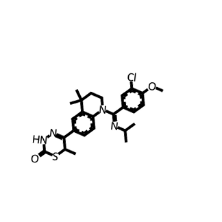 COc1ccc(C(=NC(C)C)N2CCC(C)(C)c3cc(C4=NNC(=O)SC4C)ccc32)cc1Cl